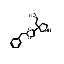 OCCC1(C2=COC(Cc3ccccc3)O2)CCNC1